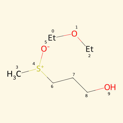 CCOCC.C[S+]([O-])CCCO